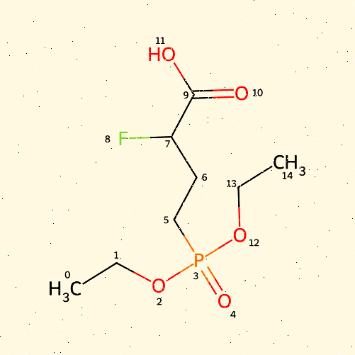 CCOP(=O)(CCC(F)C(=O)O)OCC